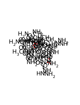 CC(=O)N[C@H]1[C@@H](O[C@H](C)[C@H](NC(=O)[C@@H]2CCCN2C(=O)[C@H](CCCCN)NC(=O)[C@H](CC(N)=O)NC(=O)[C@H](CC(N)=O)NC(=O)[C@@H](NC(=O)[C@@H]2CCCN2C(=O)[C@H](CC(N)=O)NC(=O)[C@@H]2CCCN2C(=O)[C@H](CCCNC(=N)N)NC(=O)CN)C(C)C)C(=O)N2CCC[C@H]2C(=O)N[C@@H](Cc2cnc[nH]2)C(=O)N2CCC[C@H]2C(=O)N[C@@H](CCCNC(=N)N)C(=O)N[C@@H](CC(C)C)C(=O)O)O[C@H](CO)[C@H](O)[C@@H]1O